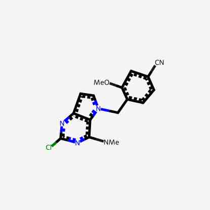 CNc1nc(Cl)nc2ccn(Cc3ccc(C#N)cc3OC)c12